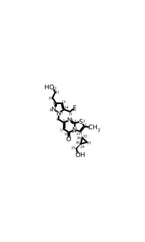 Cc1sc2nc(Cn3nc(CCO)cc3CF)cc(=O)n2c1[C@@H]1C[C@H]1CO